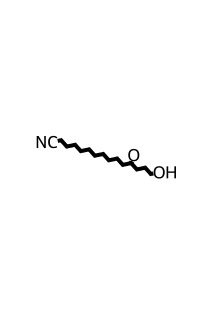 N#CCCCCCCCCCCC(=O)CCCO